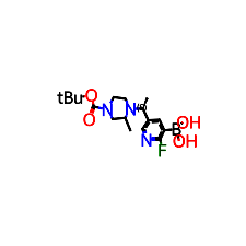 CC1CN(C(=O)OC(C)(C)C)CCN1[C@@H](C)c1cnc(F)c(B(O)O)c1